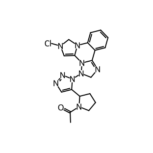 CC(=O)N1CCCC1c1cnnn1N1CN=C2c3ccccc3N3CN(Cl)C=C3N21